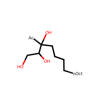 CCCCCCCCCCCCC(O)(C(C)=O)C(O)CO